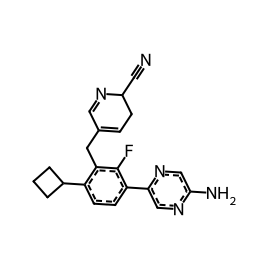 N#CC1CC=C(Cc2c(C3CCC3)ccc(-c3cnc(N)cn3)c2F)C=N1